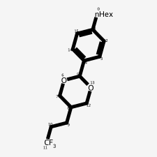 CCCCCCc1ccc(C2OCC(CCC(F)(F)F)CO2)cc1